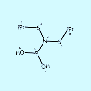 CC(C)SN(SC(C)C)P(O)O